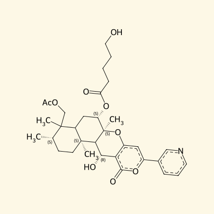 CC(=O)OCC1(C)C2C[C@H](OC(=O)CCCCO)[C@@]3(C)Oc4cc(-c5cccnc5)oc(=O)c4[C@H](O)C3[C@@]2(C)CC[C@@H]1C